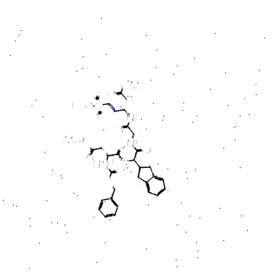 COC(=O)C[C@@H](/C=C/S(C)(=O)=O)NC(=O)CNC(=O)C(NC(=O)[C@H](CC(=O)OC)NC(=O)OCc1ccccc1)C1Cc2ccccc2C1